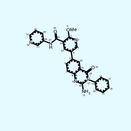 COc1ncc(-c2ccc3nc(N)n(-c4ccccc4)c(=O)c3c2)cc1C(=O)Nc1cccnc1